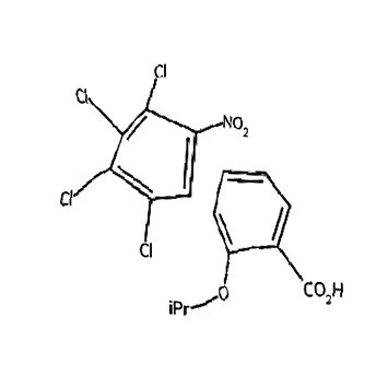 CC(C)Oc1ccccc1C(=O)O.O=[N+]([O-])c1cc(Cl)c(Cl)c(Cl)c1Cl